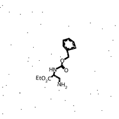 CCOC(=O)C(CN)NC(=O)OCc1ccccc1